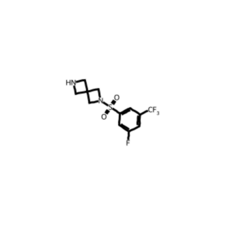 O=S(=O)(c1cc(F)cc(C(F)(F)F)c1)N1CC2(CNC2)C1